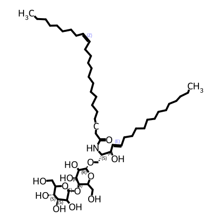 CCCCCCCC/C=C\CCCCCCCCCCCCCC(=O)N[C@@H](CO[C@@H]1OC(CO)[C@@H](O[C@@H]2OC(CO)[C@@H](O)[C@H](O)C2O)[C@H](O)C1O)[C@H](O)/C=C/CCCCCCCCCCCCC